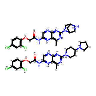 Cc1nc(N2CC3CC2CN3)nc2ncc(NC(=O)COc3ccc(Cl)cc3Cl)nc12.Cc1nc(N2CCC(N3CCCC3)CC2)nc2ncc(NC(=O)COc3ccc(Cl)cc3Cl)nc12